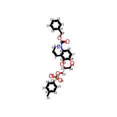 C/C=C\c1c(NC(=O)OCc2ccccc2)ccc2c1O[C@@H](COS(=O)(=O)c1ccc(C)cc1)CO2